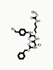 CC[C@H](NC(=O)OCc1ccccc1)C(=O)N[C@@H](CCCCNC(=O)OC(C)(C)C)C(=O)Nc1ccc(CBr)cc1